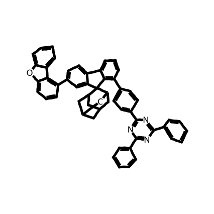 c1ccc(-c2nc(-c3ccccc3)nc(-c3ccc(-c4cccc5c4C4(c6cc(-c7cccc8oc9ccccc9c78)ccc6-5)C5CC6CC(C5)CC4C6)cc3)n2)cc1